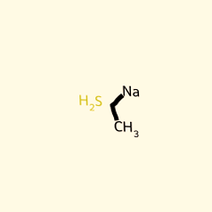 C[CH2][Na].S